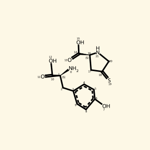 N[C@@H](Cc1ccc(O)cc1)C(=O)O.O=C(O)[C@@H]1CC(=S)CN1